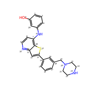 Oc1cccc(Nc2ccnc3cc(-c4cccc(CN5CCNCC5)c4)sc23)c1